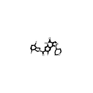 O=C(c1cc2[nH]c(=O)c3cnn(C4CCOCC4)c3c2cc1F)N1Cc2c(F)ccc(F)c2C1